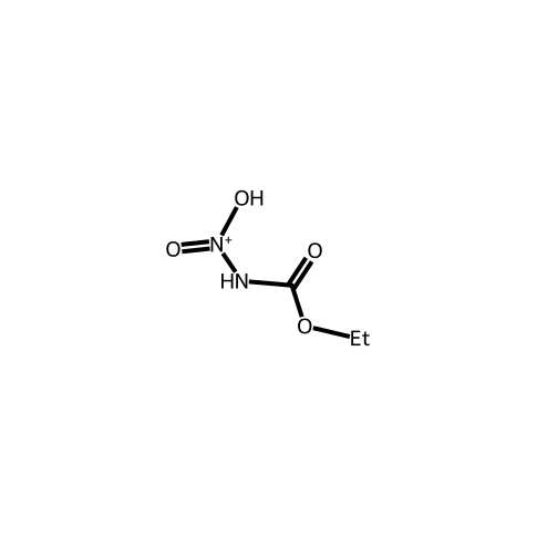 CCOC(=O)N[N+](=O)O